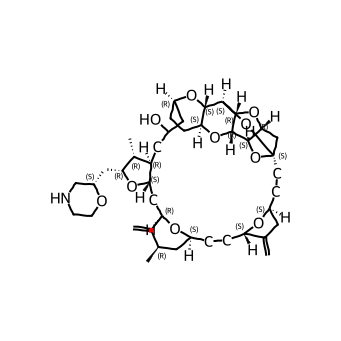 C=C1C[C@@H]2CC[C@@]34C[C@H]5O[C@H]6[C@@H](O3)[C@H]3O[C@H](CC[C@@H]3O[C@H]6[C@H]5O4)CC(O)C[C@@H]3[C@@H](C)[C@@H](C[C@H]4CNCCO4)O[C@H]3C[C@H]3O[C@@H](CC[C@@H]1O2)C[C@@H](C)C3=C